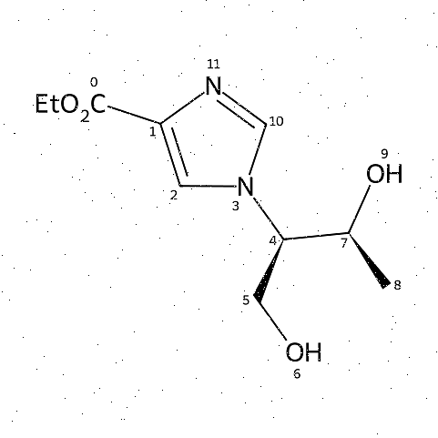 CCOC(=O)c1cn([C@H](CO)[C@H](C)O)cn1